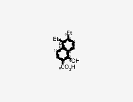 CCc1ccc2c(O)c(C(=O)O)ccc2c1CC